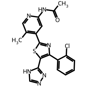 CC(=O)Nc1cc(-c2nc(-c3ccccc3Cl)c(-c3nnc[nH]3)s2)c(C)cn1